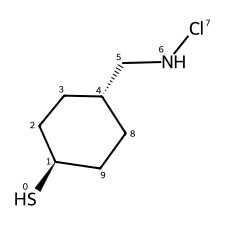 S[C@H]1CC[C@H](CNCl)CC1